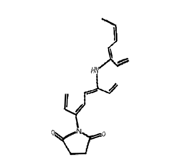 C=C/C(=C\C=C/C)N/C(C=C)=C/C=C(\C=C)N1C(=O)CCC1=O